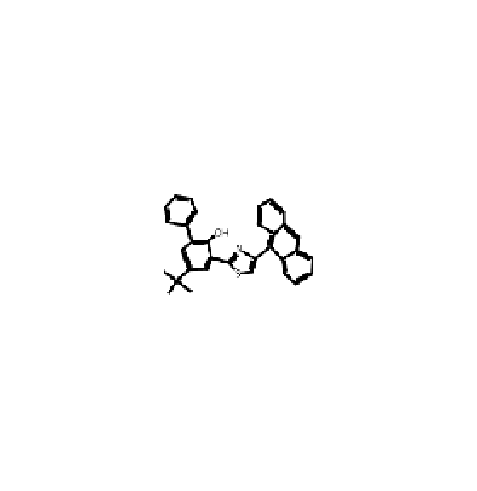 CC(C)(C)c1cc(-c2ccccc2)c(O)c(-c2nc(-c3c4ccccc4cc4ccccc34)cs2)c1